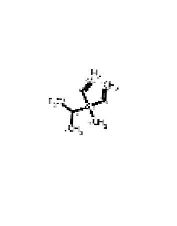 C=CS(C)(C=C)C(C)C(F)(F)F